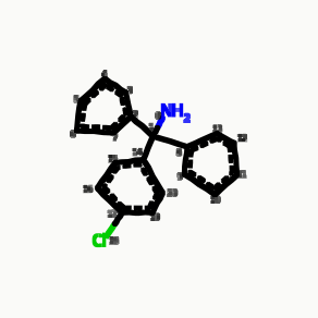 NC(c1ccccc1)(c1ccccc1)c1ccc(Cl)cc1